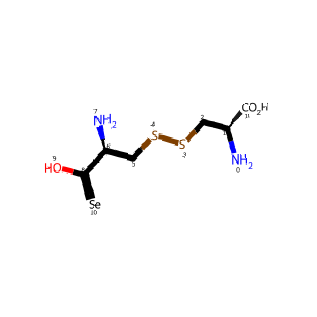 N[C@@H](CSSC[C@H](N)C(O)=[Se])C(=O)O